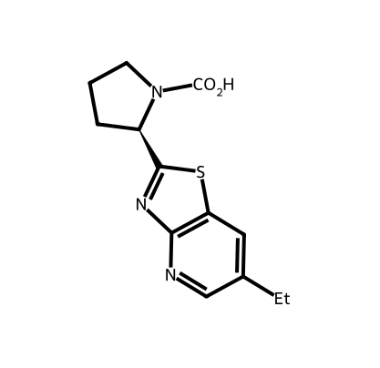 CCc1cnc2nc([C@H]3CCCN3C(=O)O)sc2c1